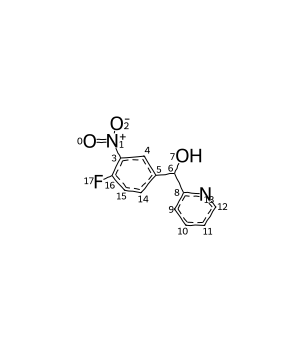 O=[N+]([O-])c1cc(C(O)c2ccccn2)ccc1F